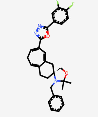 CC1(C)OC[C@@]2(CCC3=CCC=C(c4nnc(-c5ccc(F)c(F)c5)o4)C=C3C2)N1Cc1ccccc1